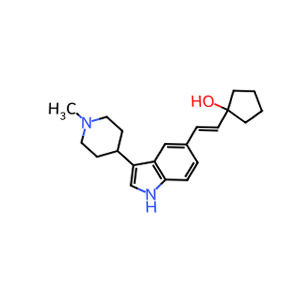 CN1CCC(c2c[nH]c3ccc(C=CC4(O)CCCC4)cc23)CC1